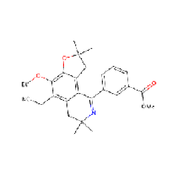 CCOc1c(CC#N)c2c(c3c1OC(C)(C)C3)C(c1cccc(C(=O)OC)c1)=NC(C)(C)C2